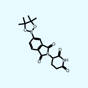 CC1(C)OB(c2ccc3c(c2)C(=O)N(C2CCC(=O)NC2=O)C3=O)OC1(C)C